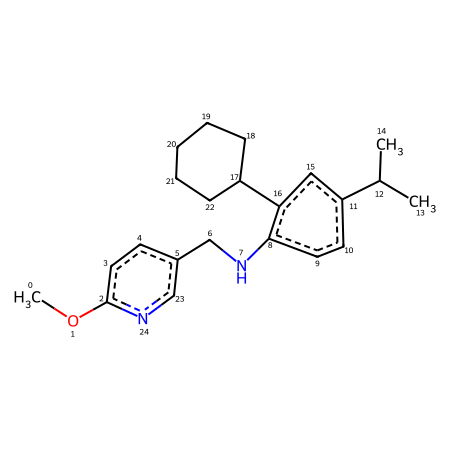 COc1ccc(CNc2ccc(C(C)C)cc2C2CCCCC2)cn1